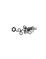 CC(C)(C)OC(=O)N1CCC1(CC(=O)OCc1ccccc1)C(N)=O